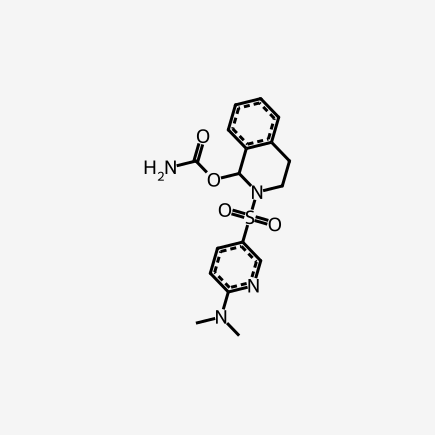 CN(C)c1ccc(S(=O)(=O)N2CCc3ccccc3C2OC(N)=O)cn1